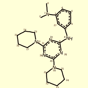 CN(C)c1cccc(Nc2nc(N3CCCCC3)nc(N3CCCCC3)n2)c1